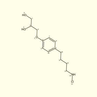 OCC(O)COc1ccc(CCCCNCl)cc1